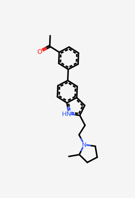 CC(=O)c1cccc(-c2ccc3[nH]c(CCN4CCCC4C)cc3c2)c1